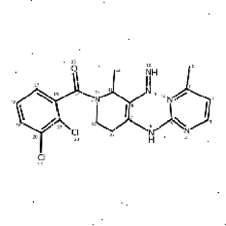 Cc1ccnc(NC2=C(N=N)C(C)N(C(=O)c3cccc(Cl)c3Cl)CC2)n1